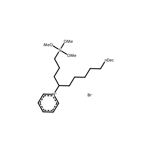 CCCCCCCCCCCCCCCC(CCC[Si](OC)(OC)OC)[n+]1ccccc1.[Br-]